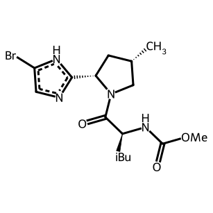 CCC(C)[C@H](NC(=O)OC)C(=O)N1C[C@@H](C)C[C@H]1c1ncc(Br)[nH]1